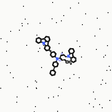 C=C/C=C(\C=C/Cn1c2ccccc2c2ccccc21)N(c1ccc(-c2ccccc2)cc1)c1ccc(-c2ccc3c(c2)c2cccc4c5ccccc5n3c42)cc1